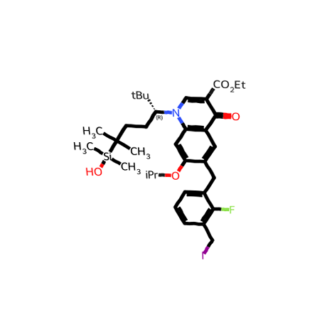 CCOC(=O)c1cn([C@H](CCC(C)(C)[Si](C)(C)O)C(C)(C)C)c2cc(OC(C)C)c(Cc3cccc(CI)c3F)cc2c1=O